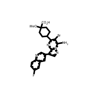 COC1(C(=O)O)CCC(c2nc3c(-c4cnc5ccc(F)cc5c4)cnn3c(N)c2Br)CC1